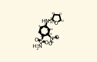 NS(=O)(=O)c1ccc(N[C@H]2CCCO2)cc1[N+](=O)[O-]